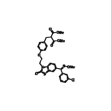 CON=C(c1cccc(Cl)c1)c1ccc2c(c1)sc(=O)n2CCOc1ccc(CC(C(=O)OC)C(=O)OC)cc1